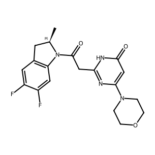 C[C@@H]1Cc2cc(F)c(F)cc2N1C(=O)Cc1nc(N2CCOCC2)cc(=O)[nH]1